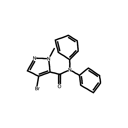 Cn1ncc(Br)c1C(=O)N(c1ccccc1)c1ccccc1